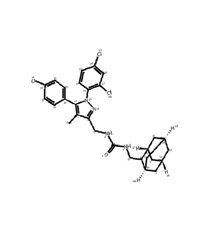 Cc1c(CNC(=O)NCC2[C@H]3C[C@@H]4C[C@@H](C[C@H]2C4)C3)nn(-c2ccc(Cl)cc2Cl)c1-c1ccc(Cl)cc1